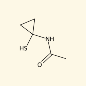 CC(=O)NC1(S)CC1